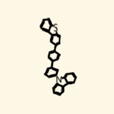 c1cc(-c2ccc(-c3ccc4sc5ccccc5c4c3)cc2)cc(-n2c3ccccc3c3ccccc32)c1